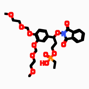 CCP(=O)(O)OCCC(ON1C(=O)c2ccccc2C1=O)c1ccc(OCOCCOC)c(OCOCCOC)c1